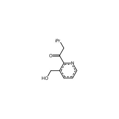 CC(C)CC(=O)c1ncccc1CO